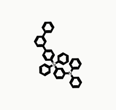 c1ccc(-c2cccc(-c3ccc([Si](c4ccccc4)(c4ccccc4)c4cccc(N(c5ccccc5)c5ccccc5)c4)cc3)c2)cc1